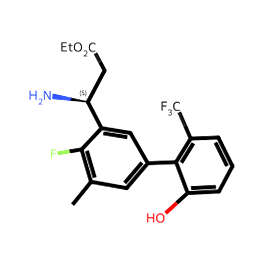 CCOC(=O)C[C@H](N)c1cc(-c2c(O)cccc2C(F)(F)F)cc(C)c1F